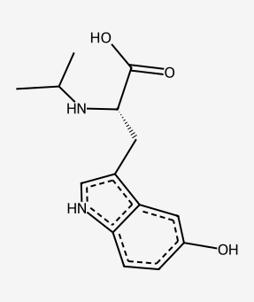 CC(C)N[C@@H](Cc1c[nH]c2ccc(O)cc12)C(=O)O